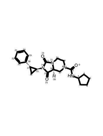 O=C(NC1CCCC1)N1CCN2C(=O)N([C@H]3C[C@@H]3c3ccccc3)C(=O)[C@@H]2C1